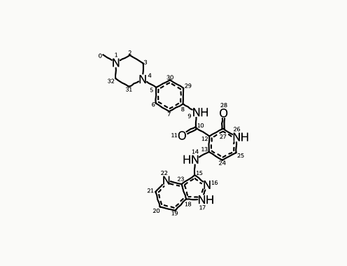 CN1CCN(c2ccc(NC(=O)c3c(Nc4n[nH]c5cccnc45)cc[nH]c3=O)cc2)CC1